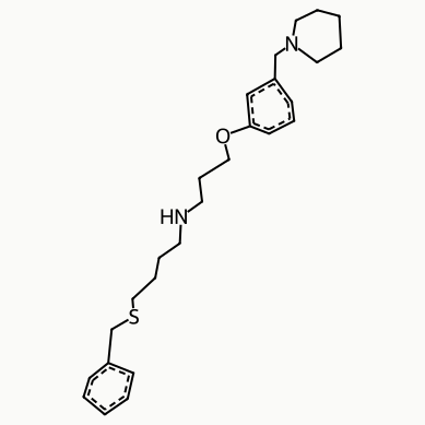 c1ccc(CSCCCCNCCCOc2cccc(CN3CCCCC3)c2)cc1